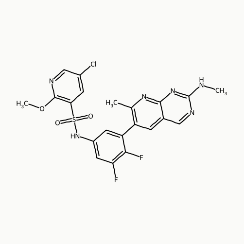 CNc1ncc2cc(-c3cc(NS(=O)(=O)c4cc(Cl)cnc4OC)cc(F)c3F)c(C)nc2n1